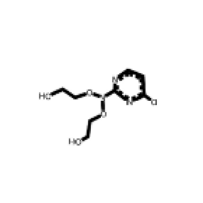 OCCON(OCCO)c1nccc(Cl)n1